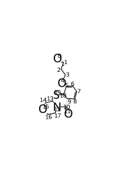 O=[C]CCOC1=CC=C[C@H](C(=O)N2CCOCC2)C1=S